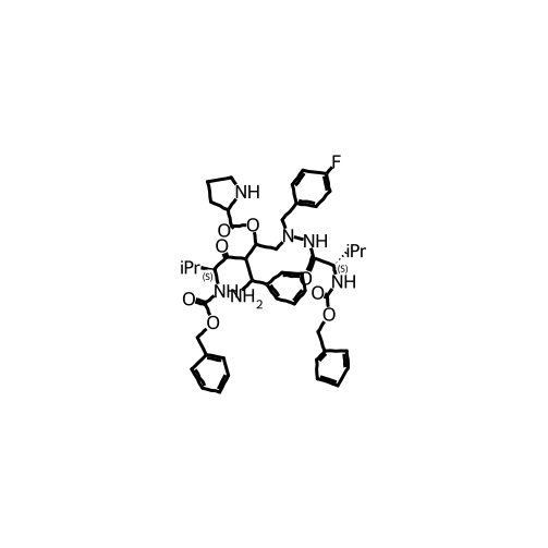 CC(C)[C@H](NC(=O)OCc1ccccc1)C(=O)NN(Cc1ccc(F)cc1)CC(OC(=O)C1CCCN1)C(C(=O)[C@@H](NC(=O)OCc1ccccc1)C(C)C)C(N)c1ccccc1